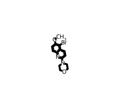 COc1ccc2nc(N3CCOCC3)ccc2c1Br